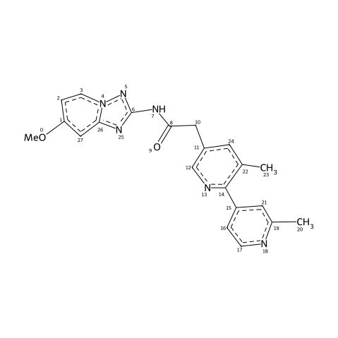 COc1ccn2nc(NC(=O)Cc3cnc(-c4ccnc(C)c4)c(C)c3)nc2c1